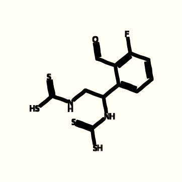 O=Cc1c(F)cccc1C(CNC(=S)S)NC(=S)S